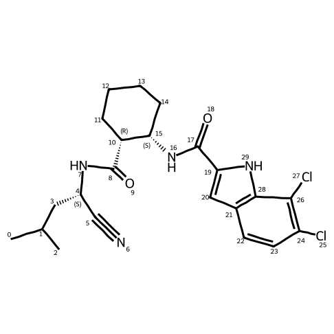 CC(C)C[C@@H](C#N)NC(=O)[C@@H]1CCCC[C@@H]1NC(=O)c1cc2ccc(Cl)c(Cl)c2[nH]1